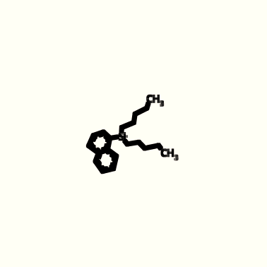 CCCCC[Si](CCCCC)c1cccc2ccccc12